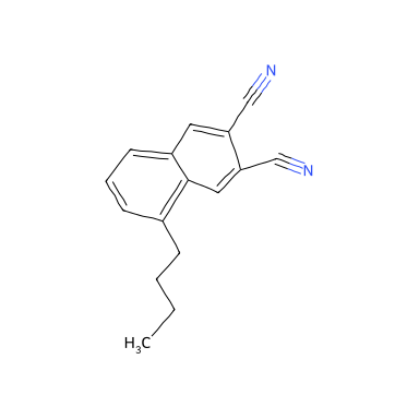 CCCCc1cccc2cc(C#N)c(C#N)cc12